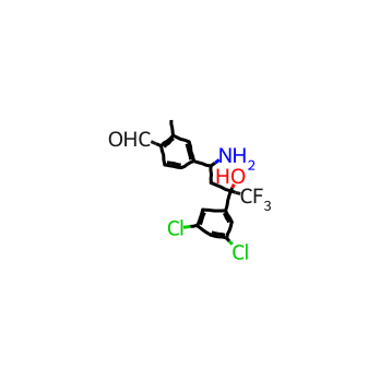 Cc1cc(C(N)CC(O)(c2cc(Cl)cc(Cl)c2)C(F)(F)F)ccc1C=O